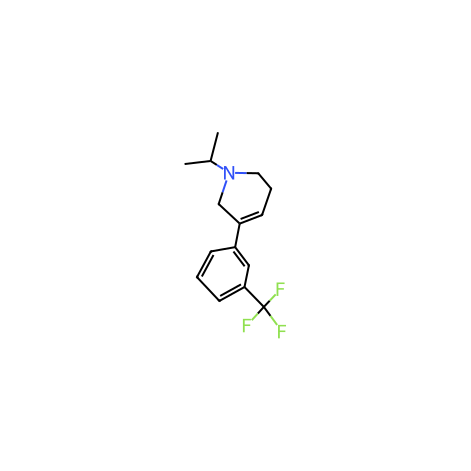 CC(C)N1CCC=C(c2cccc(C(F)(F)F)c2)C1